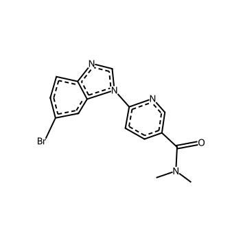 CN(C)C(=O)c1ccc(-n2cnc3ccc(Br)cc32)nc1